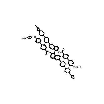 CCCCCCOc1ccc(-c2ccc(C(=O)Oc3ccc4cc(C5=CCC(C6CCC7(CC6)C6C(C)C67)CC5)ccc4c3-c3c(OC(=O)c4ccc(-c5ccc(OC6C7C(CCC)C67)cc5)cc4)ccc4cc(C5=CCC([C@H]6CC[C@H](C7C8CC87)CC6)CC5)ccc34)cc2)cc1